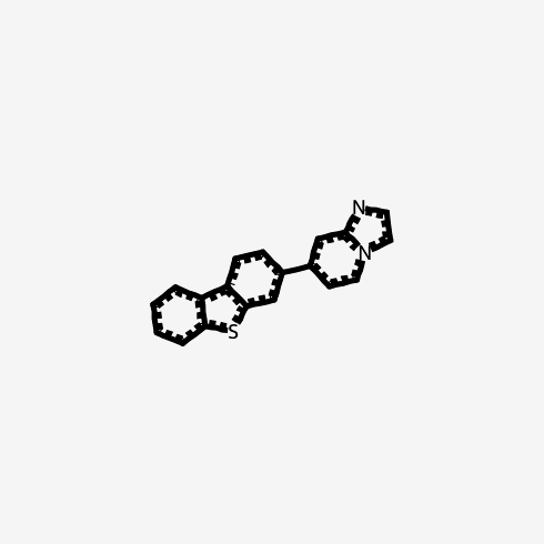 c1ccc2c(c1)sc1cc(-c3ccn4ccnc4c3)ccc12